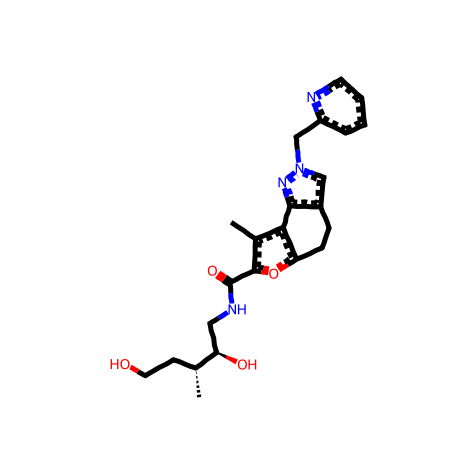 Cc1c(C(=O)NC[C@@H](O)[C@H](C)CCO)oc2c1-c1nn(Cc3ccccn3)cc1CC2